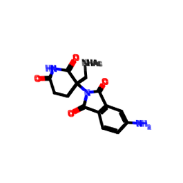 CC(=O)NCC1(N2C(=O)c3ccc(N)cc3C2=O)CCC(=O)NC1=O